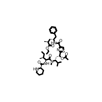 CCOC(=O)[C@@H](C)C[C@H](Cc1ccccc1)NC(=O)c1csc([C@@H](C[C@H](C(C)C)N(C)C(=O)[C@@H](NC(=O)[C@H]2CCCCN2)[C@@H](C)CC)OC(C)=O)n1